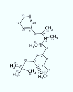 C#CC(CC(CCCC)CC(=C)N(C)C(C)CC1=CCCC=C1)CC(C)(C)C